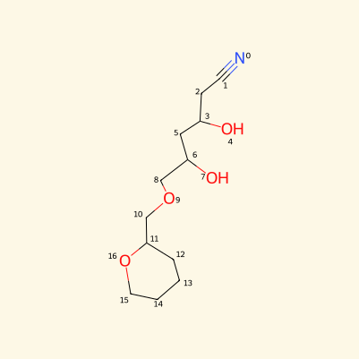 N#CCC(O)CC(O)COCC1CCCCO1